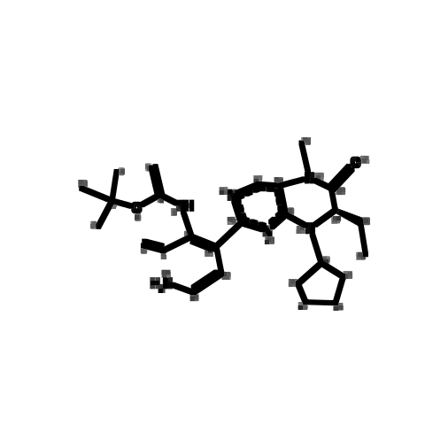 C=C/C(NC(=C)OC(C)(C)C)=C(\C=C/N)c1ncc2c(n1)N(C1CCCC1)[C@H](CC)C(=O)N2C